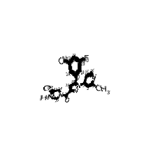 Cc1cc(-n2nc(C(=O)N3CNC(=O)C3)cc2-c2cc(F)cc(Cl)c2)ccn1